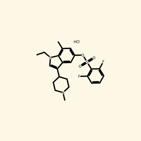 CCn1cc(C2CCN(C)CC2)c2cc(OS(=O)(=O)c3c(F)cccc3F)cc(C)c21.Cl